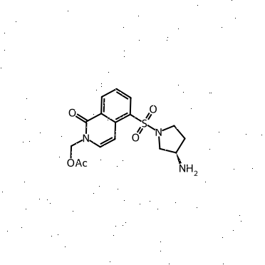 CC(=O)OCn1ccc2c(S(=O)(=O)N3CC[C@@H](N)C3)cccc2c1=O